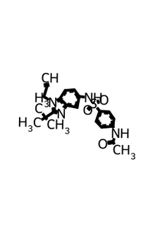 C#CCn1c(C(C)(C)C)nc2cc(NS(=O)(=O)c3ccc(NC(C)=O)cc3)ccc21